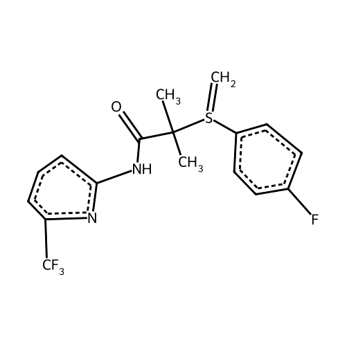 C=S(c1ccc(F)cc1)C(C)(C)C(=O)Nc1cccc(C(F)(F)F)n1